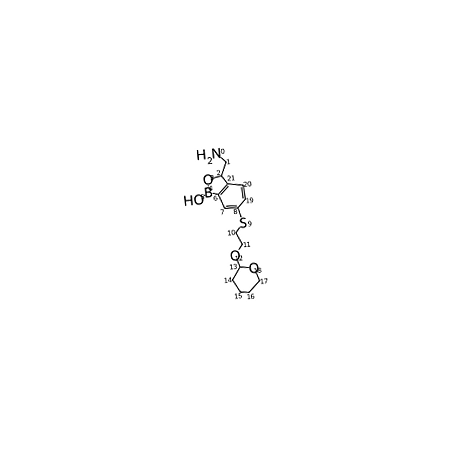 NCC1OB(O)c2cc(SCCOC3CCCCO3)ccc21